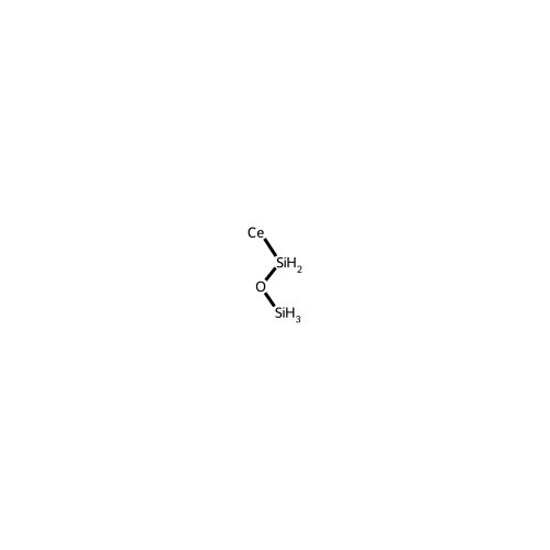 [SiH3]O[SiH2][Ce]